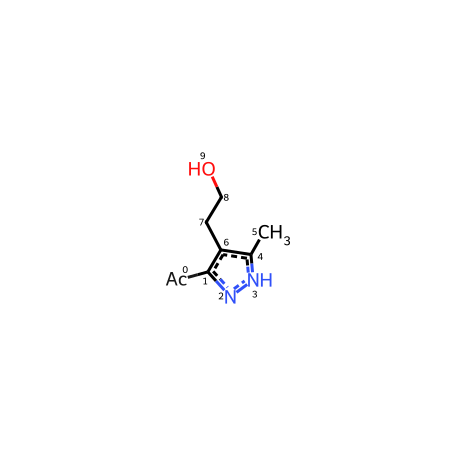 CC(=O)c1n[nH]c(C)c1CCO